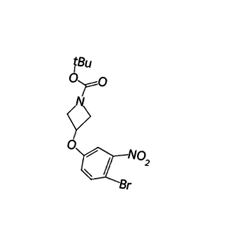 CC(C)(C)OC(=O)N1CC(Oc2ccc(Br)c([N+](=O)[O-])c2)C1